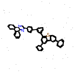 c1ccc(-c2ccc3sc4c(-c5cccc(-c6ccc(-c7cnc8c9ccccc9c9ccccc9c8n7)cc6)c5)cc(-c5ccccc5)cc4c3c2)cc1